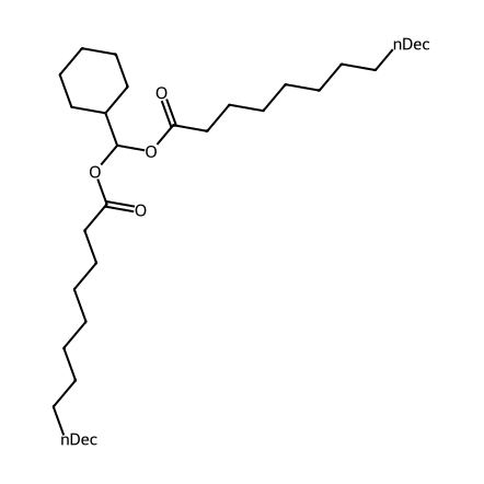 CCCCCCCCCCCCCCCCCC(=O)OC(OC(=O)CCCCCCCCCCCCCCCCC)C1CCCCC1